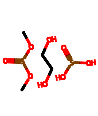 COS(=O)OC.O=S(O)O.OCCO